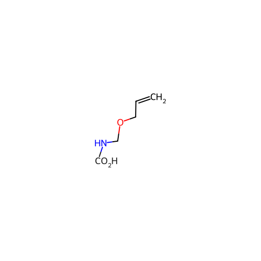 C=CCOCNC(=O)O